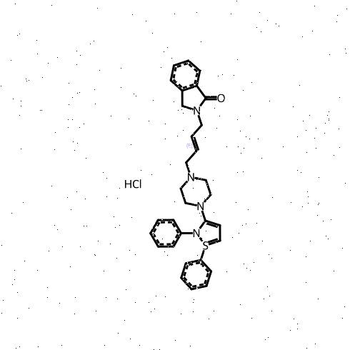 Cl.O=C1c2ccccc2CN1C/C=C/CN1CCN(C2=CC=S(c3ccccc3)N2c2ccccc2)CC1